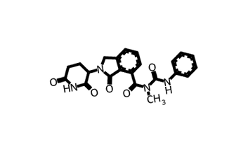 CN(C(=O)Nc1ccccc1)C(=O)c1cccc2c1C(=O)N(C1CCC(=O)NC1=O)C2